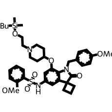 COc1ccc(CN2C(=O)C3(CCC3)c3cc(NS(=O)(=O)c4ccccc4OC)cc(OC4CCN(CCO[Si](C)(C)C(C)(C)C)CC4)c32)cc1